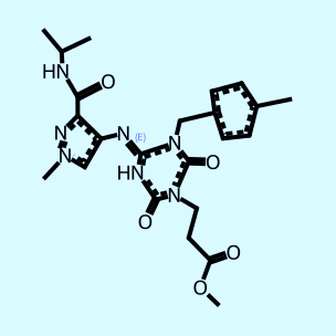 COC(=O)CCn1c(=O)[nH]/c(=N\c2cn(C)nc2C(=O)NC(C)C)n(Cc2ccc(C)cc2)c1=O